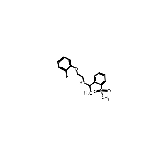 CC(NCCOc1ccccc1F)c1ccccc1S(C)(=O)=O